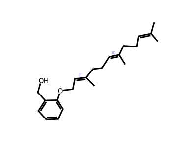 CC(C)=CCC/C(C)=C/CC/C(C)=C/COc1ccccc1CO